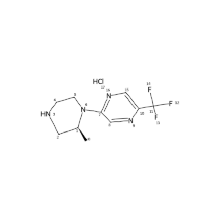 C[C@H]1CNCCN1c1cnc(C(F)(F)F)cn1.Cl